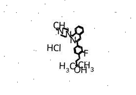 CCN1CCN(c2nc(-c3ccc(CCC(C)(C)O)c(F)c3)cc3ccccc23)CC1.Cl